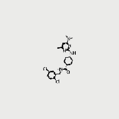 Cc1cc(N(C)C)nc(N[C@H]2CC[C@@H](C(=O)NCc3cc(Cl)ccc3Cl)CC2)n1